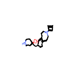 OC1(Cc2ccc3c(c2)CCN(C2=CC=C2)CC3)CCNCC1